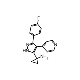 NC1(c2[nH]nc(-c3ccc(F)cc3)c2-c2ccncc2)CC1